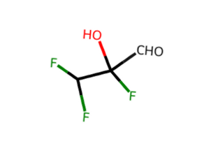 O=CC(O)(F)C(F)F